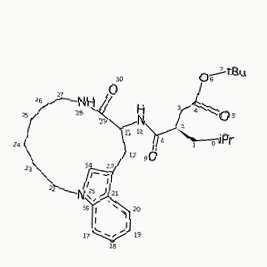 CC(C)C[C@H](CC(=O)OC(C)(C)C)C(=O)NC1Cc2cn(c3ccccc23)CCCCCCNC1=O